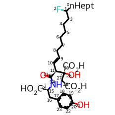 CCCCCCCC(F)CCCCCC/C=C/[C@H](C(=O)N[C@@H](Cc1ccc(O)cc1)C(=O)O)[C@@](O)(CC(=O)O)C(=O)O